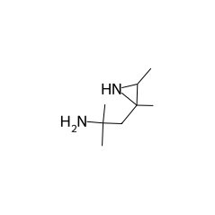 CC1NC1(C)CC(C)(C)N